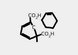 C1=CCCCC1.CC1(C(=O)O)C=CC=C(C(=O)O)C1